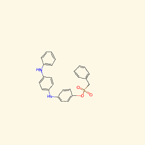 O=S(=O)(Cc1ccccc1)Oc1ccc(Nc2ccc(Nc3ccccc3)cc2)cc1